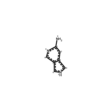 Nc1cc2c[nH]cc2cn1